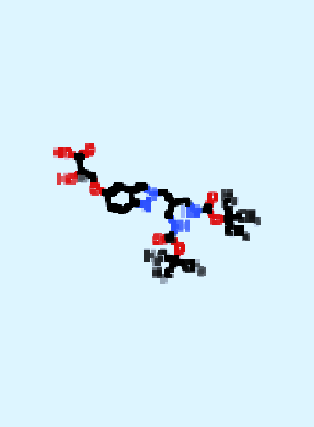 CC(C)(C)OC(=O)NCC(CNC(=O)OC(C)(C)C)Cn1cc2cc(OC[C@@H](O)C(=O)O)ccc2n1